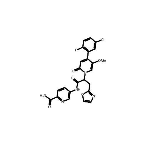 COc1cn(C(Cc2ncco2)C(=O)Nc2ccc(C(N)=O)nc2)c(=O)cc1-c1cc(Cl)ccc1F